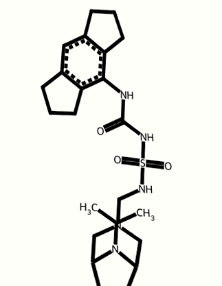 CC(C)N1C2CCC1CN(CNS(=O)(=O)NC(=O)Nc1c3c(cc4c1CCC4)CCC3)C2